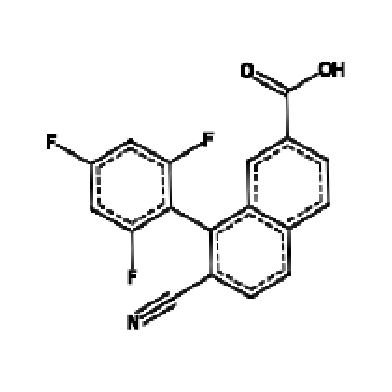 N#Cc1ccc2ccc(C(=O)O)cc2c1-c1c(F)cc(F)cc1F